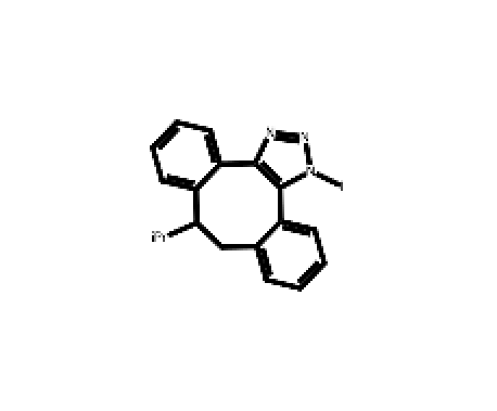 CC(C)C1Cc2ccccc2-c2c(nnn2I)-c2ccccc21